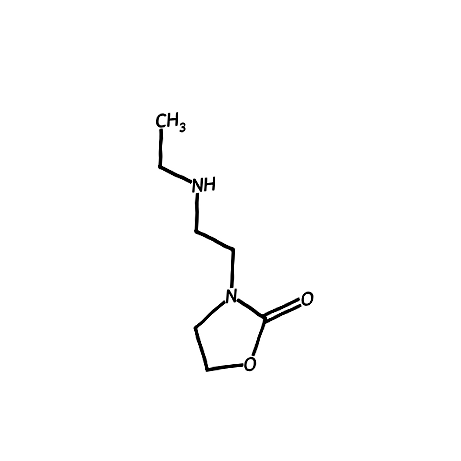 CCNCCN1CCOC1=O